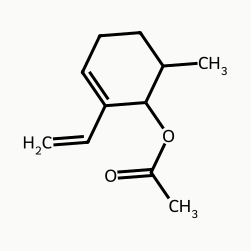 C=CC1=CCCC(C)C1OC(C)=O